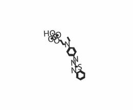 CCN(CCOS(=O)(=O)O)c1ccc(/N=N/c2nc3ccccc3s2)cc1